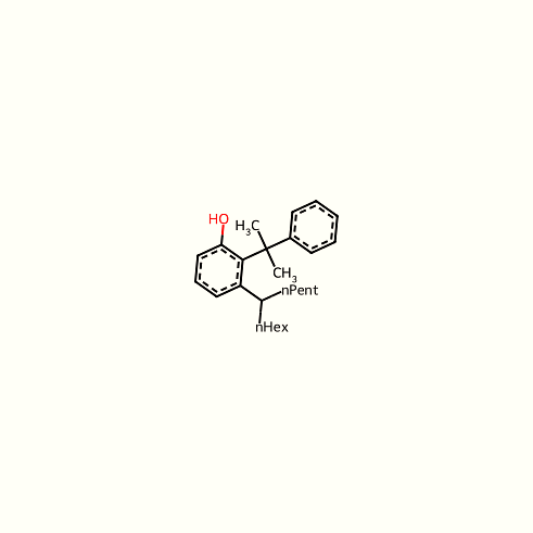 CCCCCCC(CCCCC)c1cccc(O)c1C(C)(C)c1ccccc1